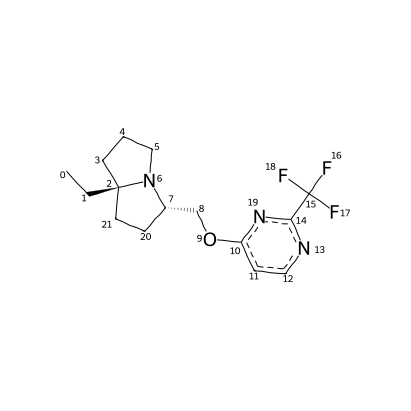 CC[C@@]12CCCN1[C@H](COc1ccnc(C(F)(F)F)n1)CC2